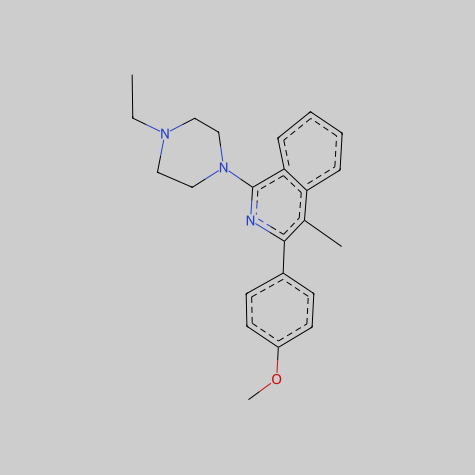 CCN1CCN(c2nc(-c3ccc(OC)cc3)c(C)c3ccccc23)CC1